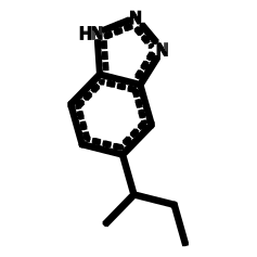 CCC(C)c1ccc2[nH]nnc2c1